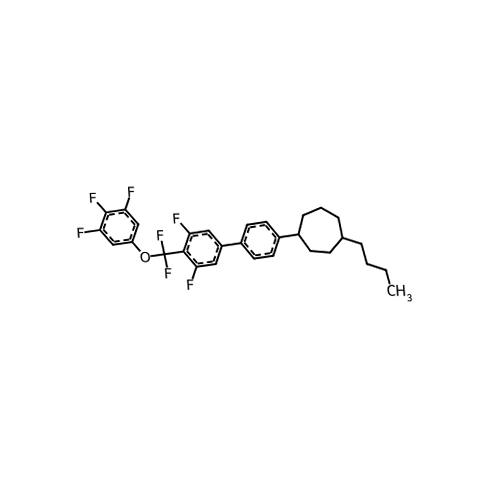 CCCCC1CCCC(c2ccc(-c3cc(F)c(C(F)(F)Oc4cc(F)c(F)c(F)c4)c(F)c3)cc2)CC1